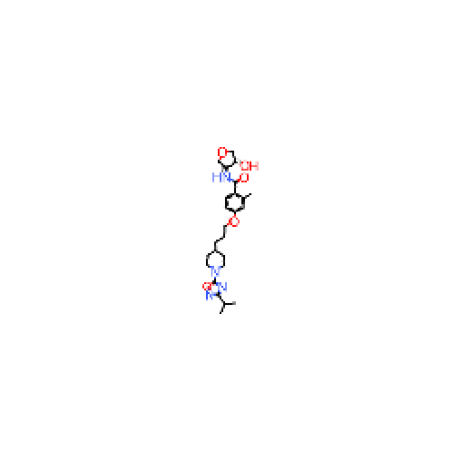 Cc1cc(OCCCC2CCN(c3nc(C(C)C)no3)CC2)ccc1C(=O)N[C@H]1COC[C@@H]1O